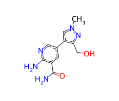 Cn1cc(-c2cnc(N)c(C(N)=O)c2)c(CO)n1